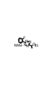 C=C(OCC)c1nnc(-c2c(F)cccc2NC)nn1